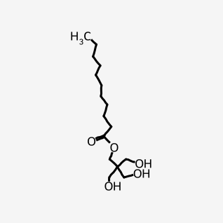 CCCCCCCCCCC(=O)OCC(CO)(CO)CO